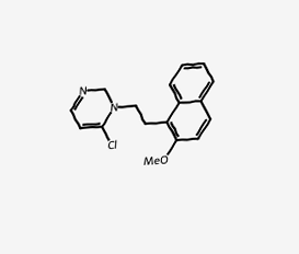 COc1ccc2ccccc2c1CCN1CN=CC=C1Cl